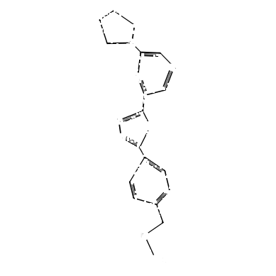 CNCc1ccc(-c2nnc(-c3cncc(N4CCCC4)n3)o2)cc1